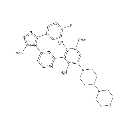 COc1cc(N2CCC(N3CCOCC3)CC2)c(N)c(-c2cc(-n3c(SC)nnc3-c3ccc(F)cc3)ccn2)c1N